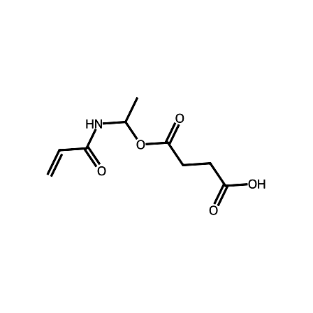 C=CC(=O)NC(C)OC(=O)CCC(=O)O